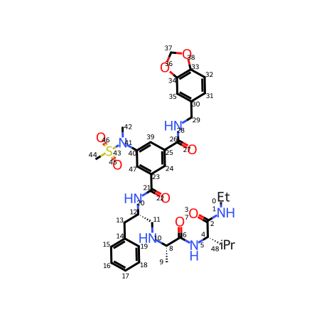 CCNC(=O)[C@@H](NC(=O)[C@H](C)NC[C@H](Cc1ccccc1)NC(=O)c1cc(C(=O)NCc2ccc3c(c2)OCO3)cc(N(C)S(C)(=O)=O)c1)C(C)C